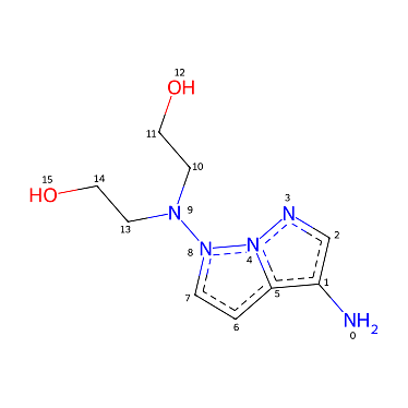 Nc1cnn2c1ccn2N(CCO)CCO